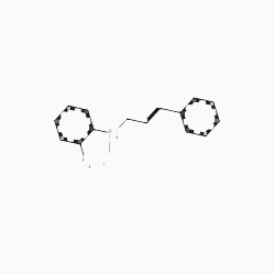 O=[N+]([O-])c1ccccc1NCC=Cc1ccccc1